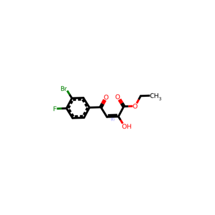 CCOC(=O)/C(O)=C\C(=O)c1ccc(F)c(Br)c1